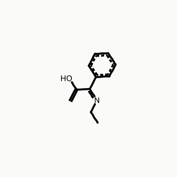 C=C(O)/C(=N\CC)c1ccccc1